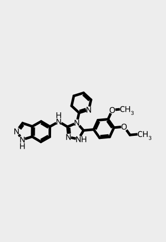 CCOc1ccc(C2NN=C(Nc3ccc4[nH]ncc4c3)N2C2=NC=CCC2)cc1OC